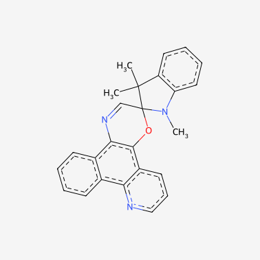 CN1c2ccccc2C(C)(C)C12C=Nc1c(c3cccnc3c3ccccc13)O2